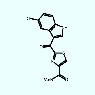 CNC(=O)c1csc(C(=O)c2c[nH]c3ccc(Cl)cc23)n1